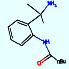 CCCCC(=O)Nc1ccccc1C(C)(C)N